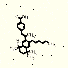 CCCCCCc1cc2c(cc1/C(C)=C/c1ccc(C(=O)O)cc1)C(C)(C)CCC2(C)C